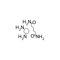 NC(=O)CCCCC(N)=O.NC1CCCC(N)C1